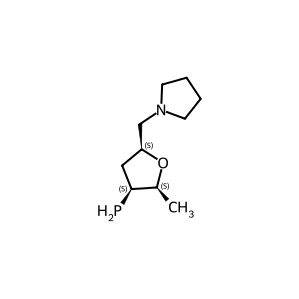 C[C@@H]1O[C@H](CN2CCCC2)C[C@@H]1P